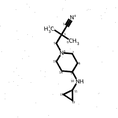 CC(C)(C#N)CN1CCC(NC2CC2)CC1